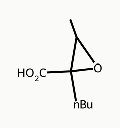 CCCCC1(C(=O)O)OC1C